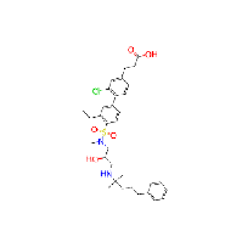 CCc1cc(-c2ccc(CCC(=O)O)cc2Cl)ccc1S(=O)(=O)N(C)C[C@H](O)CNC(C)(C)CCCc1ccccc1